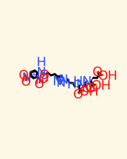 O=C(O)CC[C@H](NC(=O)N[C@@H](CCCCn1cc(CCCONc2ccc([N+](=O)[O-])cc2[N+](=O)[O-])nn1)C(=O)O)C(=O)O